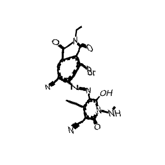 CCN1C(=O)c2cc(C#N)c(/N=N/c3c(C)c(C#N)c(=O)n(NC)c3O)c(Br)c2C1=O